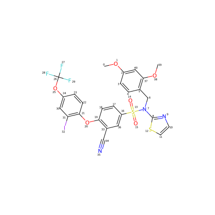 COc1ccc(CN(c2nccs2)S(=O)(=O)c2ccc(Oc3ccc(OC(F)(F)F)cc3I)c(C#N)c2)c(OC)c1